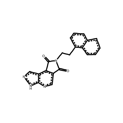 O=C1c2cnc3[nH]ncc3c2C(=O)N1CCc1cccc2ccccc12